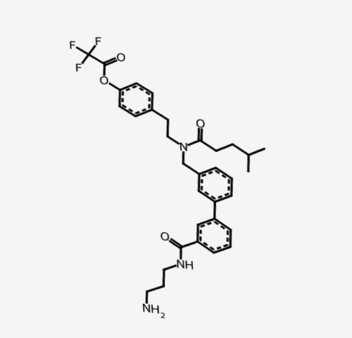 CC(C)CCC(=O)N(CCc1ccc(OC(=O)C(F)(F)F)cc1)Cc1cccc(-c2cccc(C(=O)NCCCN)c2)c1